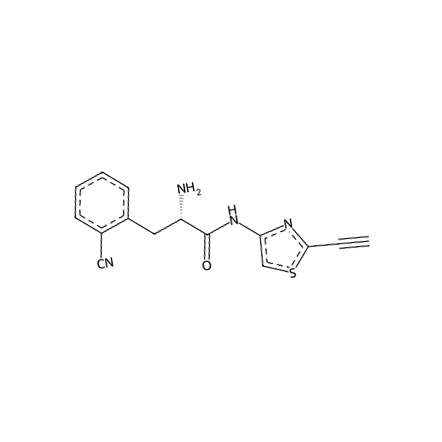 C#Cc1nc(NC(=O)[C@@H](N)Cc2ccccc2C#N)cs1